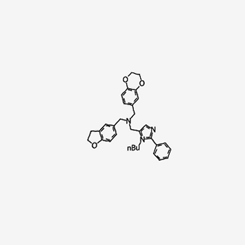 CCCCn1c(CN(Cc2ccc3c(c2)CCO3)Cc2ccc3c(c2)OCCO3)cnc1-c1ccccc1